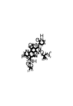 CN(C)CC1(COc2nc(N[C@@H]3CCCNC3=O)c3c4c(c(-c5ncc(F)c6sc(NC(=O)OC(C)(C)C)c(C#N)c56)c(F)c3n2)COC4)CC1